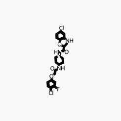 O=C(COc1ccc(Cl)c(F)c1)NC1CCN(NC(=O)C2CNc3cc(Cl)ccc3O2)CC1